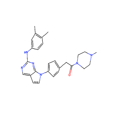 Cc1ccc(Nc2ncc3ccn(-c4ccc(CC(=O)N5CCN(C)CC5)cc4)c3n2)cc1C